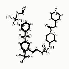 CC(C)(C)OC=O.O=C(CC1CCNCC1)N1CCC(NS(=O)(=O)CC=Cc2cc(S(=O)(=O)c3ccccc3)ccc2C(F)(F)F)CC1